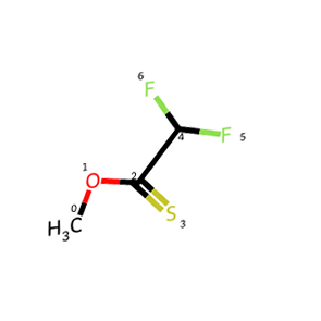 COC(=S)C(F)F